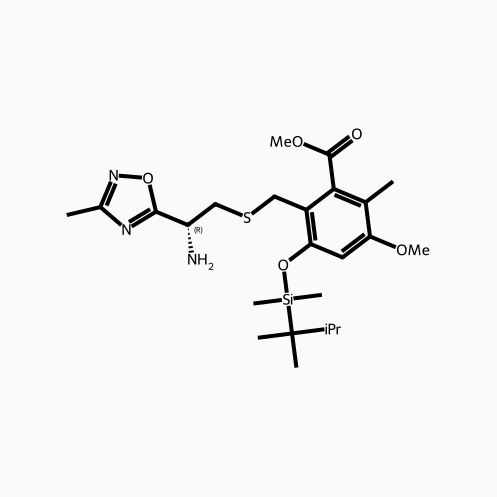 COC(=O)c1c(C)c(OC)cc(O[Si](C)(C)C(C)(C)C(C)C)c1CSC[C@H](N)c1nc(C)no1